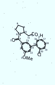 COc1cc(C(=O)N2CCCC2CC(=O)O)cc(-c2ccccc2Cl)c1